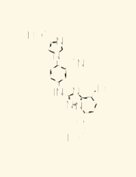 Cc1cn(-c2ccc(Nc3nc4c(C(C)C)ccc(OCC(F)(F)F)n4n3)cc2C#N)cn1